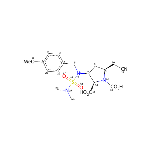 COc1ccc(CN([C@H]2C[C@@H](CC#N)N(C(=O)O)[C@H]2C(=O)O)S(=O)(=O)N(C)C)cc1